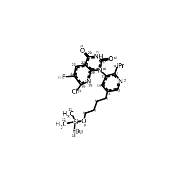 CC(C)c1ncc(CCCCO[Si](C)(C)C(C)(C)C)cc1-n1c(=O)[nH]c(=O)c2cc(F)c(Cl)nc21